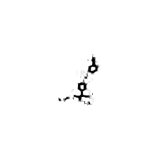 COCCNC(=O)c1cn2ncnc(N)c2c1-c1ccc(NC(=O)Nc2ccc(F)c(C(F)(F)F)c2)cc1